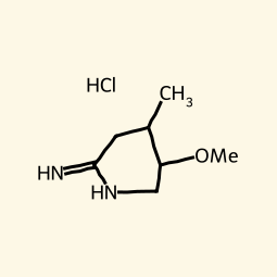 COC1CNC(=N)CC1C.Cl